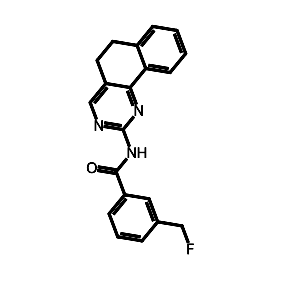 O=C(Nc1ncc2c(n1)-c1ccccc1CC2)c1cccc(CF)c1